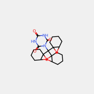 O=c1[nH]c(=O)n(C(C23CCCCC2O3)(C23CCCCC2O3)C23CCCCC2O3)c(=O)[nH]1